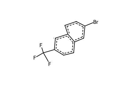 FC(F)(F)c1[c]c2ccc(Br)cc2cc1